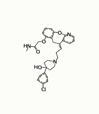 CNC(=O)COc1cccc2c1CC(=CCCN1CCC(O)(c3ccc(Cl)cc3)CC1)c1cccnc1O2